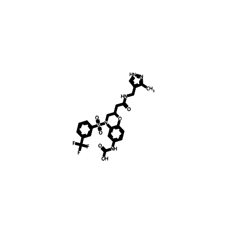 Cc1n[nH]cc1CNC(=O)CC1CN(S(=O)(=O)c2cccc(C(F)(F)F)c2)c2cc(NC(=O)O)ccc2O1